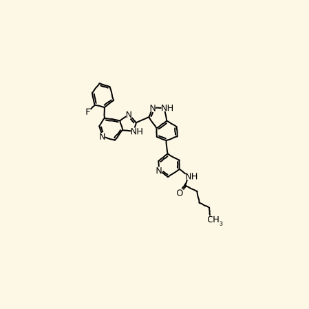 CCCCC(=O)Nc1cncc(-c2ccc3[nH]nc(-c4nc5c(-c6ccccc6F)cncc5[nH]4)c3c2)c1